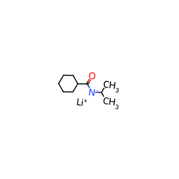 CC(C)[N-]C(=O)C1CCCCC1.[Li+]